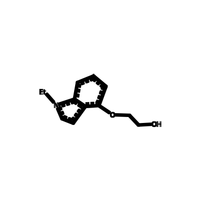 CCn1ccc2c(OCCO)c[c]cc21